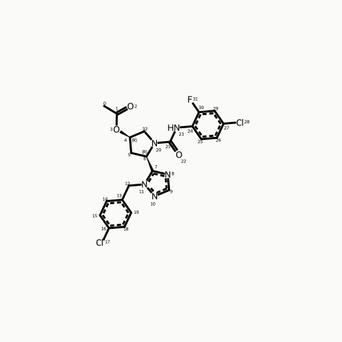 CC(=O)O[C@@H]1C[C@H](c2ncnn2Cc2ccc(Cl)cc2)N(C(=O)Nc2ccc(Cl)cc2F)C1